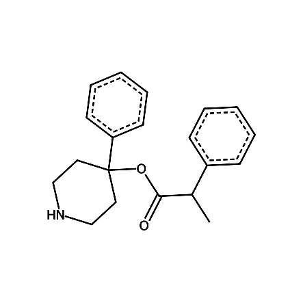 CC(C(=O)OC1(c2ccccc2)CCNCC1)c1ccccc1